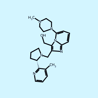 Cc1cccnc1[C@@H]1CCCN1Cc1nc2cccc(N3CCN(C)CC3)n2c1CO